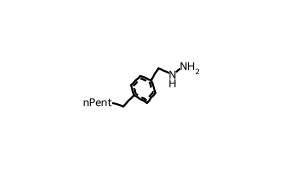 CCCCCCc1ccc(CNN)cc1